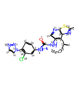 COC(C)c1c(NC(=O)Nc2ccc(-n3ccnn3)c(Cl)c2)cnc2sc(C)nc12